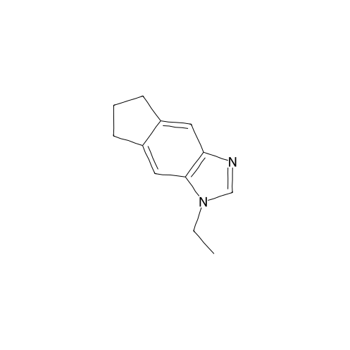 CCn1cnc2cc3c(cc21)CCC3